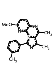 COc1ccc2nc(C)c3c(C)nc(-c4cccc(C)c4)n3c2n1